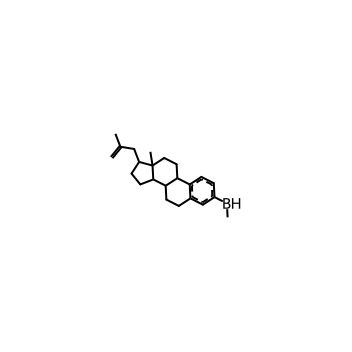 C=C(C)CC1CCC2C3CCc4cc(BC)ccc4C3CCC12C